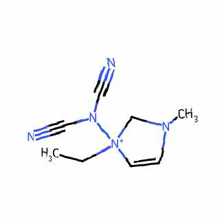 CC[N+]1(N(C#N)C#N)C=CN(C)C1